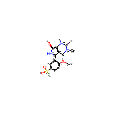 CCCOc1ccc(S(=O)(=O)Cl)cc1C1NC(=O)C2=C1CN(CCC)C(I)N2C